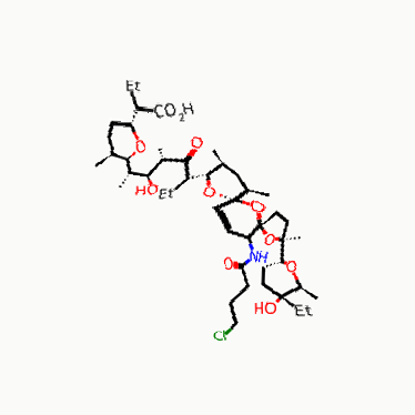 CCC(C(=O)[C@@H](C)[C@@H](O)[C@H](C)[C@@H]1O[C@@H](C(CC)C(=O)O)CC[C@@H]1C)[C@H]1O[C@]2(C=CC(NC(=O)CCCCl)[C@]3(CC[C@@](C)([C@H]4CC[C@](O)(CC)[C@H](C)O4)O3)O2)[C@H](C)C[C@@H]1C